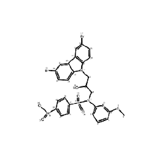 COc1cccc(N(CC(O)Cn2c3ccc(Br)cc3c3cc(Br)ccc32)S(=O)(=O)c2ccc([N+](=O)[O-])cc2)n1